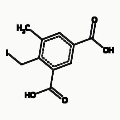 Cc1cc(C(=O)O)cc(C(=O)O)c1CI